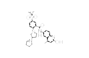 Cc1cc(O)nc2ccc(NC(=O)c3cc(S(=O)(=O)N(C)C)ccc3N3CCC(N4CCCC4)C3)cc12